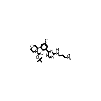 CN(C)CCCNc1ncnc(-c2cc(Cl)cc([C@@H]3COCCN3C(=O)OC(C)(C)C)c2)n1